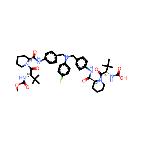 COC(=O)N[C@H](C(=O)N1CCCC[C@H]1C(=O)Nc1ccc(CN(Cc2ccc(NC(=O)[C@@H]3CCCCN3C(=O)[C@@H](NC(=O)O)C(C)(C)C)cc2)c2ccc(F)cc2)cc1)C(C)(C)C